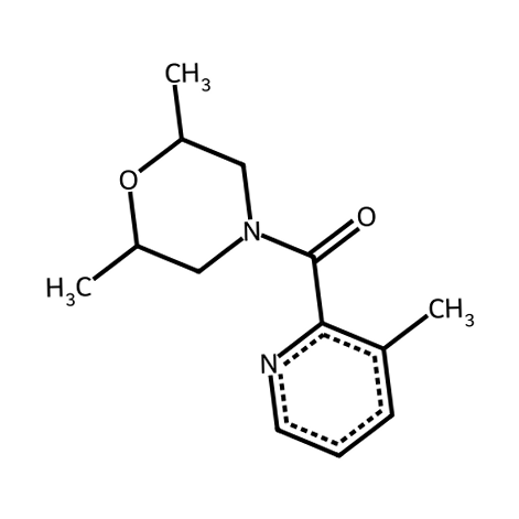 Cc1cccnc1C(=O)N1CC(C)OC(C)C1